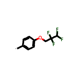 [CH2]c1ccc(OCC(F)(F)C(F)F)cc1